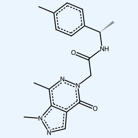 Cc1ccc([C@H](C)NC(=O)Cn2nc(C)c3c(cnn3C)c2=O)cc1